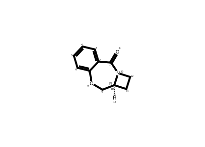 O=C1c2ccccc2OC[C@@H]2CCN12